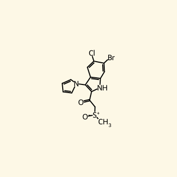 C[S+]([O-])CC(=O)c1[nH]c2cc(Br)c(Cl)cc2c1-n1cccc1